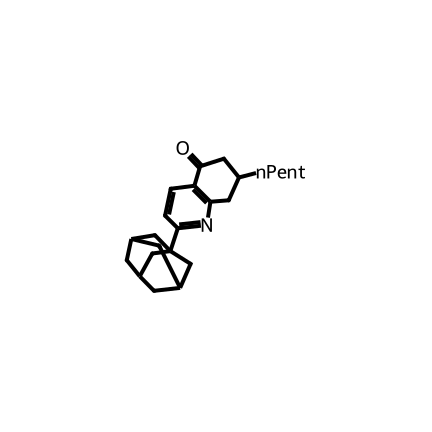 CCCCCC1CC(=O)c2ccc(C34CC5CC(CC(C5)C3)C4)nc2C1